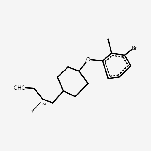 Cc1c(Br)cccc1OC1CCC(C[C@H](C)CC=O)CC1